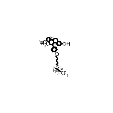 C[C@]12C[C@H](c3ccc(OCCCCCSC(F)(F)C(F)(F)C(F)(F)C(F)(F)F)cc3)[C@@H]3c4ccc(O)cc4CC[C@H]3[C@@H]1CC[C@@H]2O